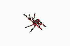 CCCCCCCCCCCC(C)C(CC(CCC)CCCCC)(C(C)CC(CCC)CCCCC)C(CC(C)CCCCCCCCCC)(CC(CCC)CCCCC)C(CCC(C)CCCCCCCCC)(CC(CCC)CCCCC)C(CCC)(CCCC(C)CCCCCCCC)[C](CC(CCC)CCCCC)C(CC)CCCCCCCCCC